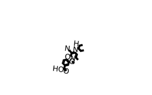 CCC(CC)Nc1cc(C)nc(Oc2ccc(C(=O)O)cc2OC)c1C#N